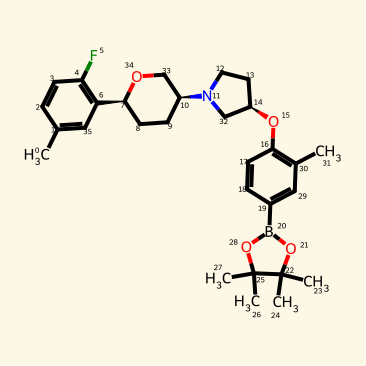 Cc1ccc(F)c([C@@H]2CC[C@H](N3CC[C@@H](Oc4ccc(B5OC(C)(C)C(C)(C)O5)cc4C)C3)CO2)c1